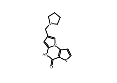 O=c1[nH]c2cc(CN3CCCC3)cn2c2ccsc12